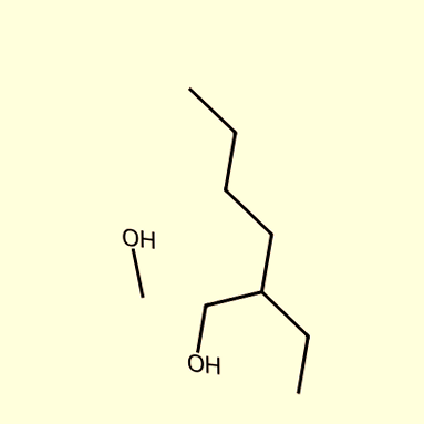 CCCCC(CC)CO.CO